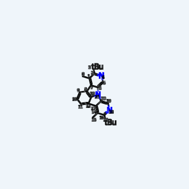 Cc1c(C(C)(C)C)ncc2c1c1cccc3c4c(C)c(C(C)(C)C)ncc4n2c13